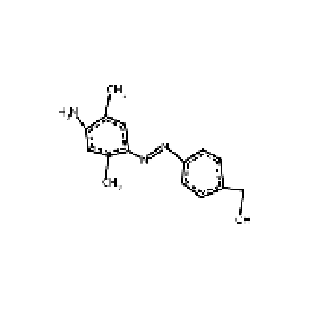 Cc1cc(N=Nc2ccc(CO)cc2)c(C)cc1N